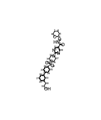 O=C(NOC1CCCCO1)c1cnc(N2CCN(S(=O)(=O)c3ccc(-c4cccc(CCO)c4)cc3)CC2)nc1